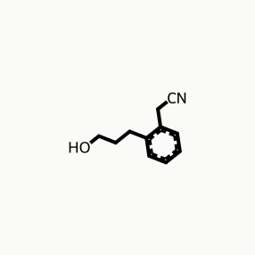 N#CCc1ccccc1CCCO